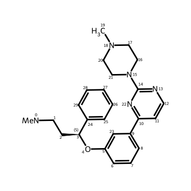 CNCC[C@H](Oc1cccc(-c2ccnc(N3CCN(C)CC3)n2)c1)c1ccccc1